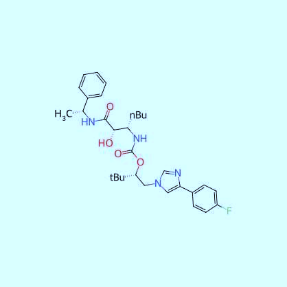 CCCC[C@H](NC(=O)O[C@H](Cn1cnc(-c2ccc(F)cc2)c1)C(C)(C)C)[C@H](O)C(=O)N[C@H](C)c1ccccc1